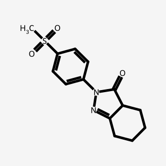 CS(=O)(=O)c1ccc(N2N=C3CCCCC3C2=O)cc1